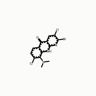 CN(C)c1c(Cl)ccc2c(=O)c3cc(Cl)c(Br)nc3[nH]c12